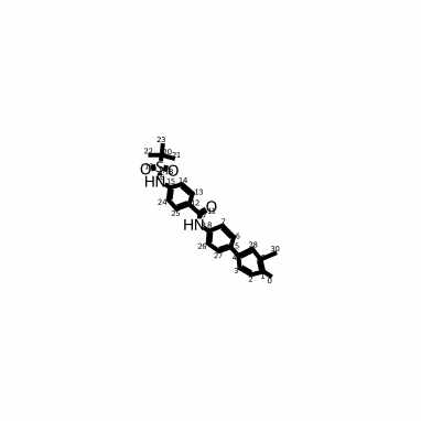 Cc1ccc(-c2ccc(NC(=O)c3ccc(NS(=O)(=O)C(C)(C)C)cc3)cc2)cc1C